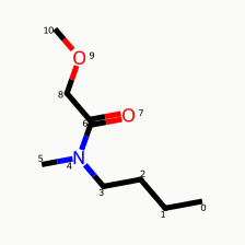 CCCCN(C)C(=O)COC